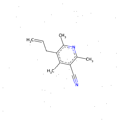 C=CCc1c(C)nc(C)c(C#N)c1C